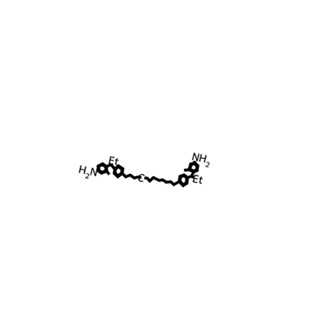 CCC(c1ccc(CCCCCCCCCCCCCc2ccc(C(CC)c3ccc(N)cc3C)cc2)cc1)c1ccc(N)cc1C